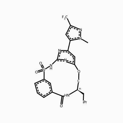 CC(C)C[C@@H]1COc2cc(-c3cc(C(F)(F)F)nn3C)nc(n2)NS(=O)(=O)c2cccc(c2)C(=O)N1